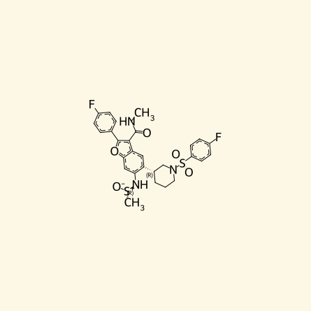 CNC(=O)c1c(-c2ccc(F)cc2)oc2cc(N[S@+](C)[O-])c([C@H]3CCCN(S(=O)(=O)c4ccc(F)cc4)C3)cc12